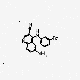 N#Cc1cnc2ccc(N)cc2c1Nc1cccc(Br)c1